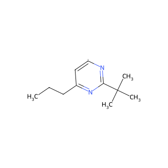 CCCc1c[c]nc(C(C)(C)C)n1